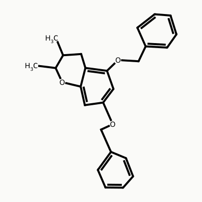 CC1Cc2c(OCc3ccccc3)cc(OCc3ccccc3)cc2OC1C